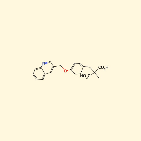 CC(Cc1ccc(OCc2cnc3ccccc3c2)cc1)(C(=O)O)C(=O)O